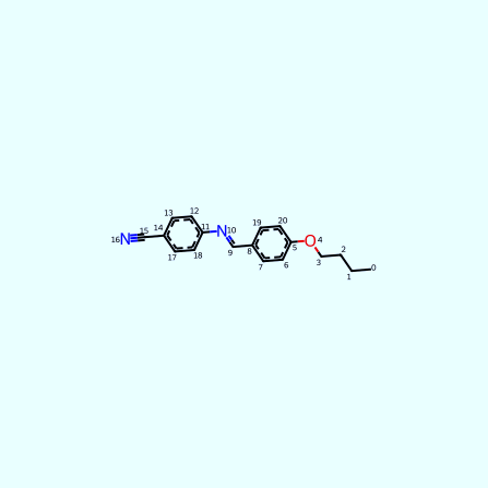 CCCCOc1ccc(C=Nc2ccc(C#N)cc2)cc1